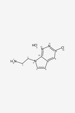 Cl.NCCn1ccc2cc(Cl)nnc21